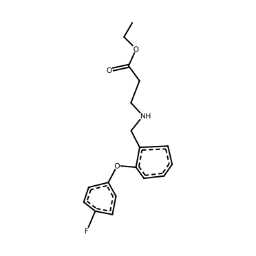 CCOC(=O)CCNCc1ccccc1Oc1ccc(F)cc1